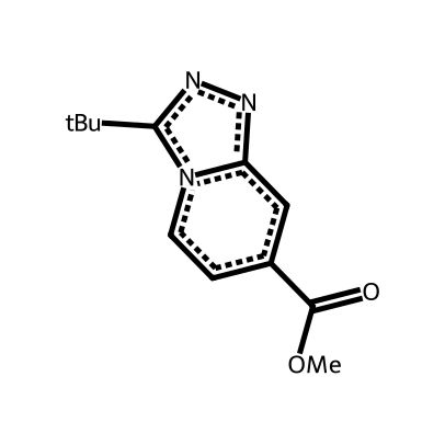 COC(=O)c1ccn2c(C(C)(C)C)nnc2c1